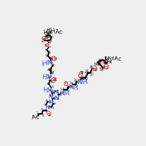 CC(=O)CCCC(=O)N1CCN(c2nc(NCCC(=O)NCCCNC(=O)CCCCOC[C@@]34CC[C@@H](NC(C)=O)[C@H](OC3)O4)nc(NCCC(=O)NCCCNC(=O)CCCCOC[C@@]34CC[C@@H](NC(C)=O)[C@H](OC3)O4)n2)CC1